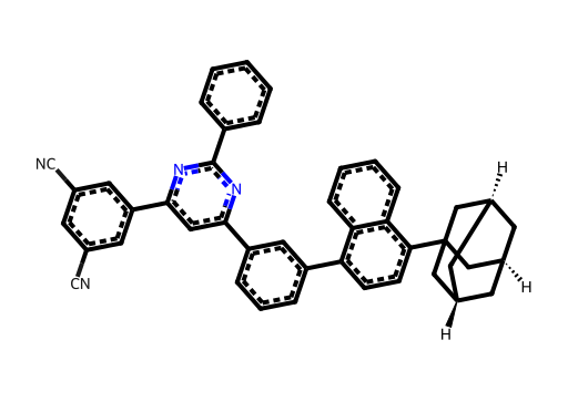 N#Cc1cc(C#N)cc(-c2cc(-c3cccc(-c4ccc(C56C[C@H]7C[C@H](C5)C[C@@H](C6)C7)c5ccccc45)c3)nc(-c3ccccc3)n2)c1